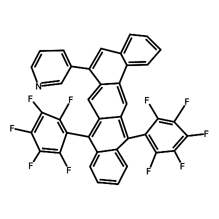 Fc1c(F)c(F)c(-c2c3ccccc3c(-c3c(F)c(F)c(F)c(F)c3F)c3cc4c(cc23)c(-c2cccnc2)cc2ccccc24)c(F)c1F